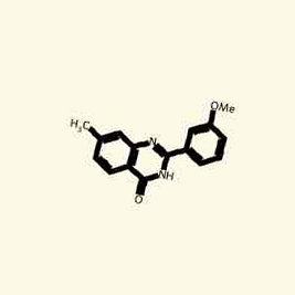 COc1cccc(-c2nc3cc(C)ccc3c(=O)[nH]2)c1